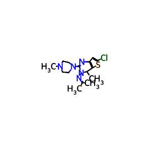 CC(C)=NN1C(N2CCN(C)CC2)=Nc2cc(Cl)sc2C1C